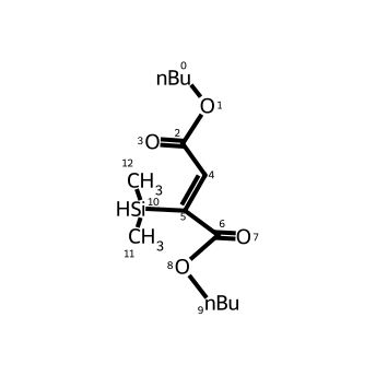 CCCCOC(=O)/C=C(/C(=O)OCCCC)[SiH](C)C